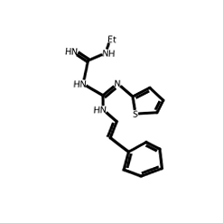 CCNC(=N)NC(=Nc1cccs1)NC=Cc1ccccc1